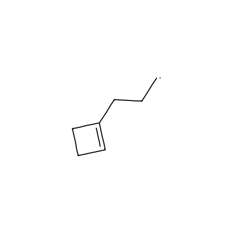 [CH2]CCC1=CCC1